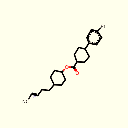 CCc1ccc(C2CCC(C(=O)OC3CCC(CC/C=C/C#N)CC3)CC2)cc1